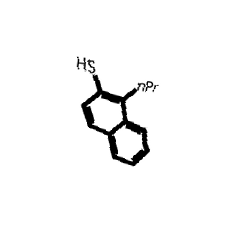 CCCc1c(S)ccc2ccccc12